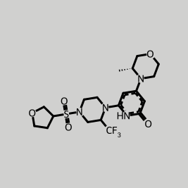 C[C@@H]1COCCN1c1cc(N2CCN(S(=O)(=O)C3CCOC3)CC2C(F)(F)F)[nH]c(=O)c1